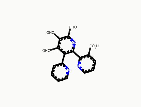 O=Cc1nc(-c2ncccc2C(=O)O)c(-c2ccccn2)c(C=O)c1C=O